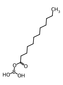 CCCCCCCCCCCC(=O)OB(O)O